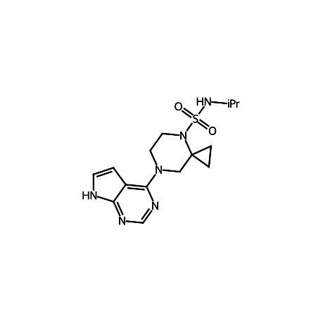 CC(C)NS(=O)(=O)N1CCN(c2ncnc3[nH]ccc23)CC12CC2